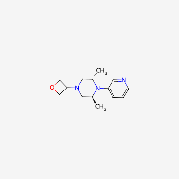 C[C@H]1CN(C2COC2)C[C@H](C)N1c1cccnc1